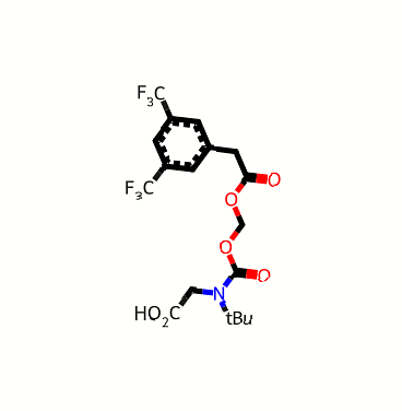 CC(C)(C)N(CC(=O)O)C(=O)OCOC(=O)Cc1cc(C(F)(F)F)cc(C(F)(F)F)c1